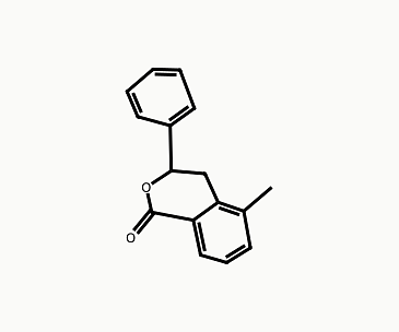 Cc1cccc2c1CC(c1ccccc1)OC2=O